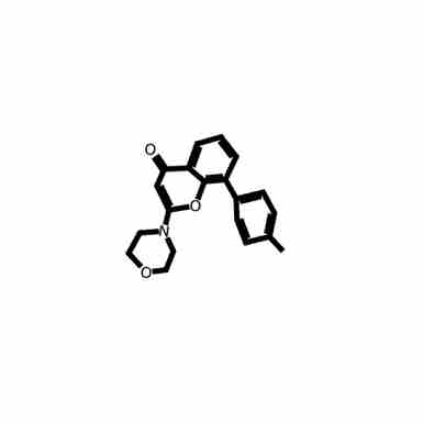 Cc1ccc(-c2cccc3c(=O)cc(N4CCOCC4)oc23)cc1